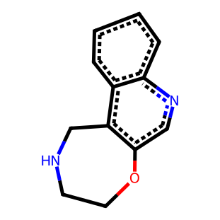 c1ccc2c3c(cnc2c1)OCCNC3